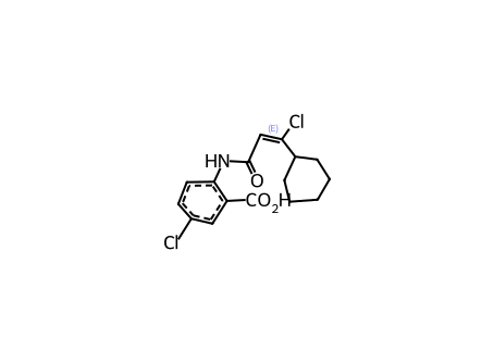 O=C(/C=C(/Cl)C1CCCCC1)Nc1ccc(Cl)cc1C(=O)O